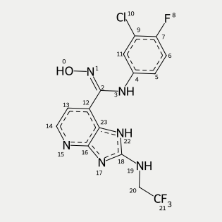 O/N=C(/Nc1ccc(F)c(Cl)c1)c1ccnc2nc(NCC(F)(F)F)[nH]c12